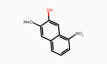 COc1cc2cccc([N+](=O)[O-])c2cc1O